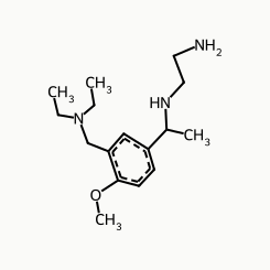 CCN(CC)Cc1cc(C(C)NCCN)ccc1OC